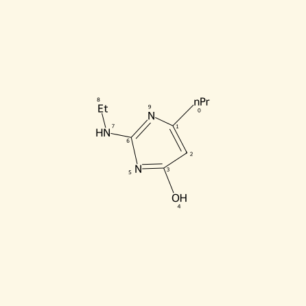 CCCc1cc(O)nc(NCC)n1